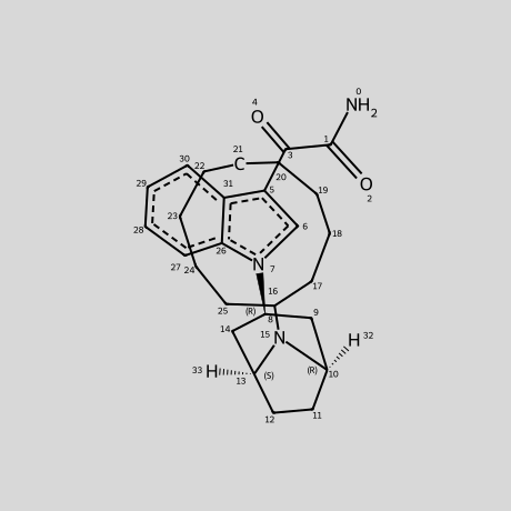 NC(=O)C(=O)c1cn([C@H]2C[C@H]3CC[C@@H](C2)N3C2CCCCCCCCC2)c2ccccc12